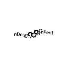 CCCCCCCCCCOc1ccc2c(n1)CCc1nc(OCCCCC)ccc1-2